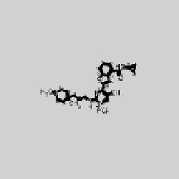 Cc1cnc(NCCCC2(C)CCN(C)CC2)nc1-c1cc2c(C(=O)NC3CC3)cccc2s1.Cl.Cl